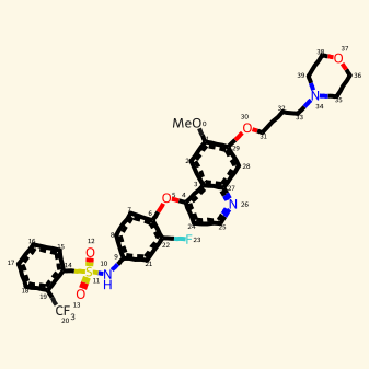 COc1cc2c(Oc3ccc(NS(=O)(=O)c4ccccc4C(F)(F)F)cc3F)ccnc2cc1OCCCN1CCOCC1